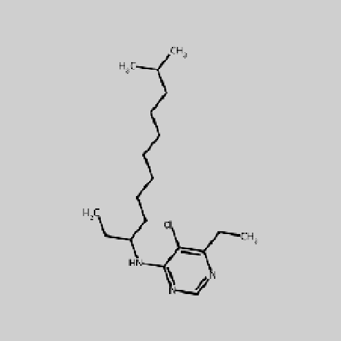 CCc1ncnc(NC(CC)CCCCCCCC(C)C)c1Cl